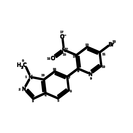 Cn1ncc2ccc(-c3ncc(Br)cc3[N+](=O)[O-])cc21